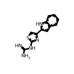 N=C(N)Nc1nc(-c2cc3ccccc3[nH]2)cs1